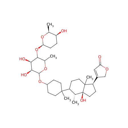 CC1OC(OC2CCC(C)(C3CCC4(C)[C@@H](C5=CC(=O)OC5)CC[C@]4(O)[C@@H]3C)CC2)[C@@H](O)[C@@H](O)C1O[C@@H]1CC[C@H](O)[C@H](C)O1